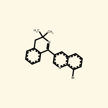 CC1(C)Cc2ccccc2C(c2cnc3c(Br)cccc3c2)=N1